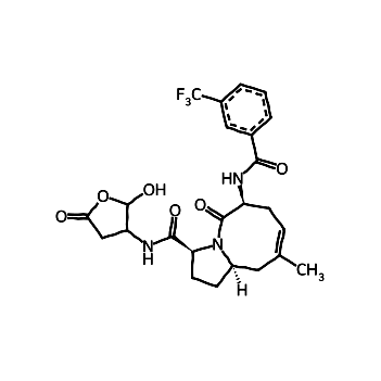 C/C1=C/C[C@H](NC(=O)c2cccc(C(F)(F)F)c2)C(=O)N2[C@H](CC[C@H]2C(=O)NC2CC(=O)OC2O)C1